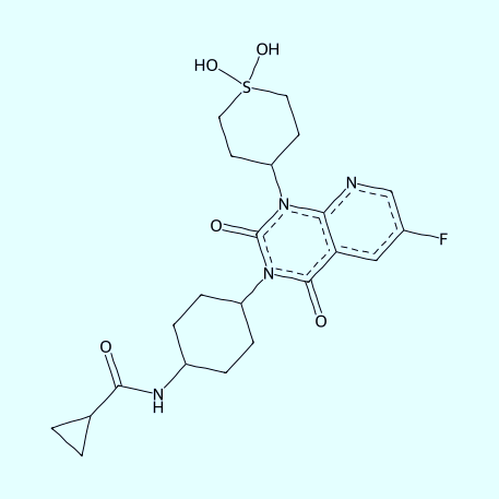 O=C(NC1CCC(n2c(=O)c3cc(F)cnc3n(C3CCS(O)(O)CC3)c2=O)CC1)C1CC1